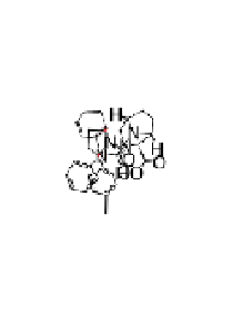 Cc1ccc(C2CCCN2C(=O)N2[C@H]3CC[C@@H]2[C@@H](C(=O)O)N(C(=O)N(c2ccccc2)c2ccccc2)C3)cc1